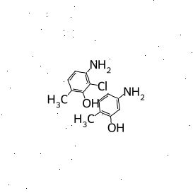 Cc1ccc(N)c(Cl)c1O.Cc1ccc(N)cc1O